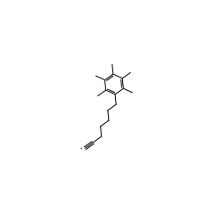 [C]#CCCCCCc1c(C)c(C)c(C)c(C)c1C